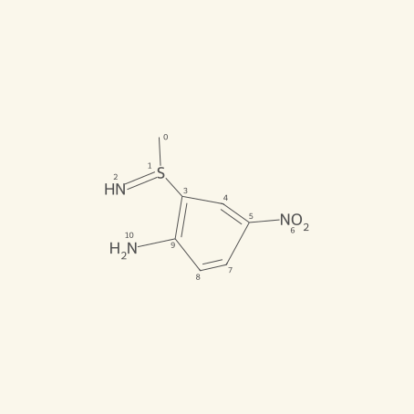 CS(=N)c1cc([N+](=O)[O-])ccc1N